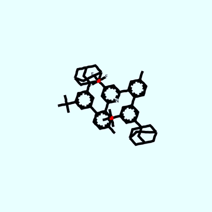 Cc1ccc(-c2cc(C(C)(C)C)cc(C34CC5CC(CC(C5)C3)C4)c2)c(-c2cc(C(F)(F)F)cc(-c3cc(C)ccc3-c3cc(C(C)(C)C)cc(C45CC6CC(CC(C6)C4)C5)c3)n2)c1